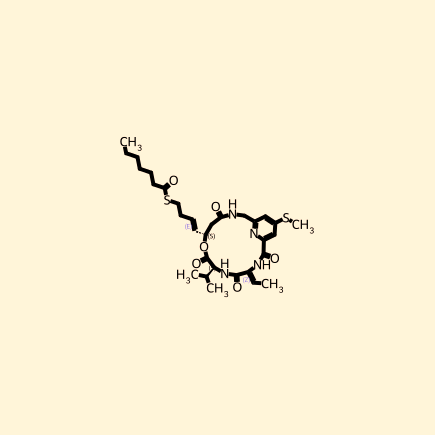 C/C=C1\NC(=O)c2cc(SC)cc(n2)CNC(=O)C[C@@H](/C=C/CCSC(=O)CCCCCC)OC(=O)[C@H](C(C)C)NC1=O